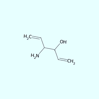 C=C[C](O)C(N)C=C